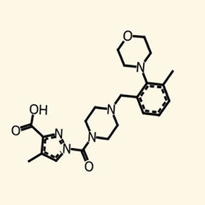 Cc1cn(C(=O)N2CCN(Cc3cccc(C)c3N3CCOCC3)CC2)nc1C(=O)O